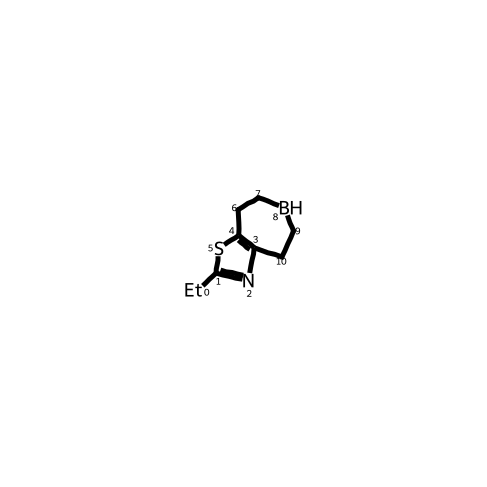 CCc1nc2c(s1)CCBCC2